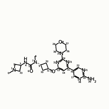 CN1CC(NC(=O)N(C)[C@H]2C[C@H](Oc3cc(-c4cnc(N)nc4)nc(N4CCOCC4)n3)C2)C1